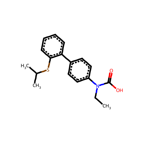 CCN(C(=O)O)c1ccc(-c2ccccc2SC(C)C)cc1